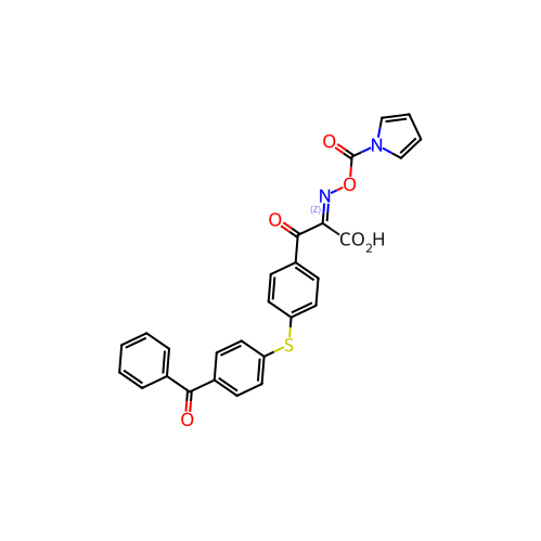 O=C(O)/C(=N\OC(=O)n1cccc1)C(=O)c1ccc(Sc2ccc(C(=O)c3ccccc3)cc2)cc1